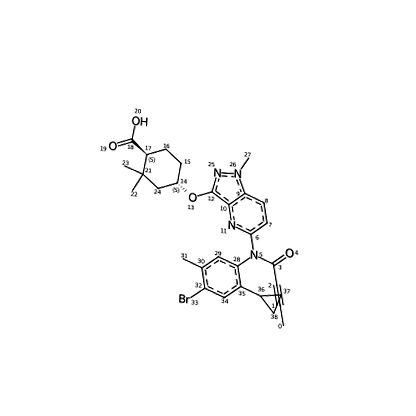 CC#CC(=O)N(c1ccc2c(n1)c(O[C@H]1CC[C@H](C(=O)O)C(C)(C)C1)nn2C)c1cc(C)c(Br)cc1C1CC1